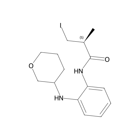 C[C@H](CI)C(=O)Nc1ccccc1NC1CCCOC1